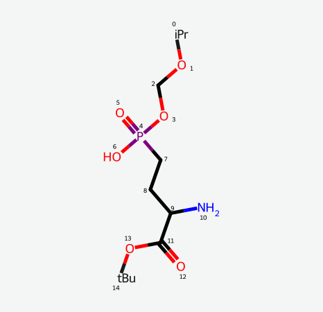 CC(C)OCOP(=O)(O)CCC(N)C(=O)OC(C)(C)C